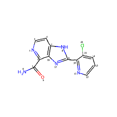 NC(=O)c1nccc2[nH]c(-c3ncccc3Cl)nc12